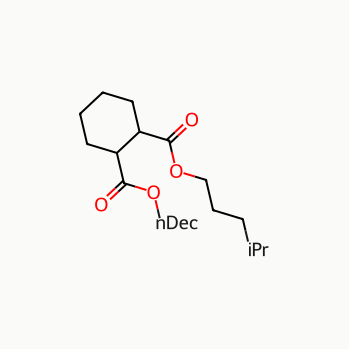 CCCCCCCCCCOC(=O)C1CCCCC1C(=O)OCCCC(C)C